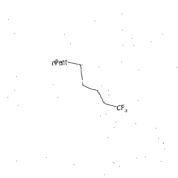 CCCCC[CH]CCCC(F)(F)F